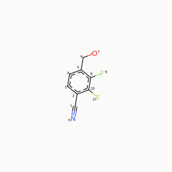 N#Cc1ccc(C[O])c(F)c1F